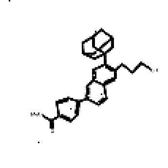 COC(=O)c1ccc(-c2ccc3cc(CCCO)c(C45CC6CC(CC(C6)C4)C5)cc3c2)cc1